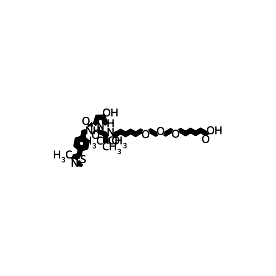 Cc1ncsc1-c1ccc(CNC(=O)[C@@H]2C[C@@H](O)CN2C(=O)C(NC(=O)CCCCCOCCOCCOCCCCCC(=O)O)C(C)(C)C)cc1